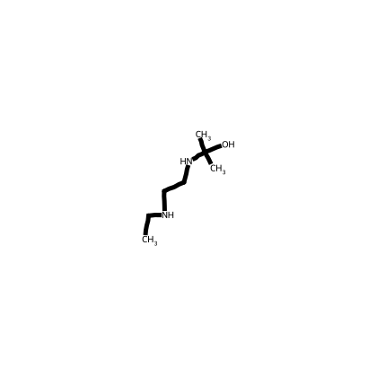 CCNCCNC(C)(C)O